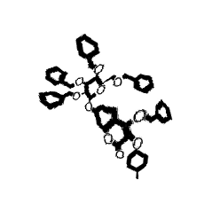 C[C@H]1CC[C@H](Oc2c(OCc3ccccc3)c3ccc(O[C@@H]4O[C@H](COCc5ccccc5)[C@H](OCc5ccccc5)[C@H](OCc5ccccc5)[C@H]4OCc4ccccc4)cc3oc2=O)CC1